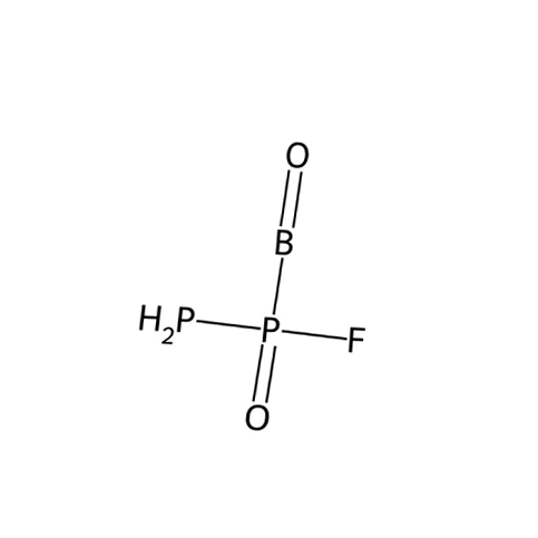 O=BP(=O)(F)P